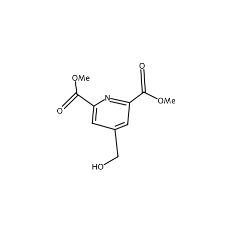 COC(=O)c1cc(CO)cc(C(=O)OC)n1